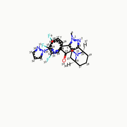 Cn1nc2c(c1-c1cc(F)c(F)c(F)c1)C[C@@H]1CCC[C@H]2N1CC(=O)c1cccc(-n2cccn2)n1